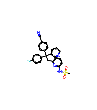 CS(=O)(=O)Nc1cccc(CC(c2ccc(F)cc2)(c2ccc(C#N)cc2)c2cccnc2)n1